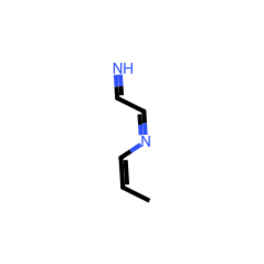 C/C=C\N=C/C=N